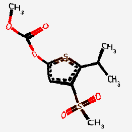 COC(=O)Oc1cc(S(C)(=O)=O)c(C(C)C)s1